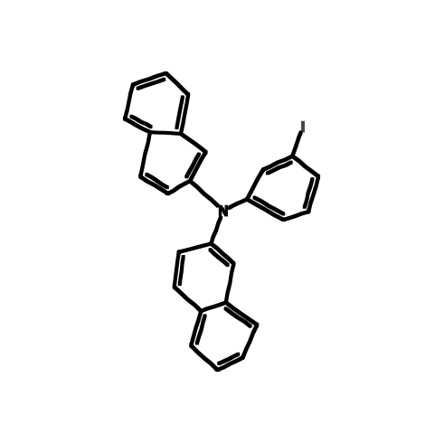 Ic1cccc(N(c2ccc3ccccc3c2)c2ccc3ccccc3c2)c1